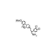 COc1ccc(C2CCN(CC[C@H](CN)c3ccc(Cl)c(Cl)c3)CC2)c([S+](C)[O-])c1